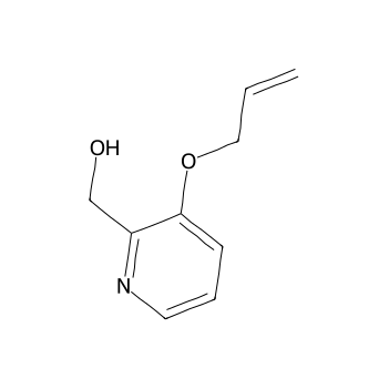 C=CCOc1cccnc1CO